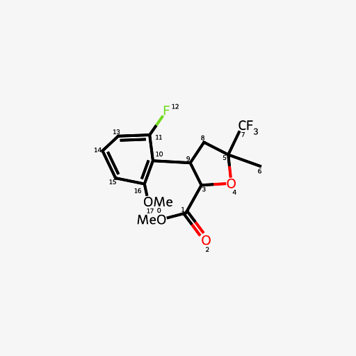 COC(=O)C1OC(C)(C(F)(F)F)CC1c1c(F)cccc1OC